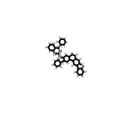 c1ccc(-c2nc(-n3c4ccccc4c4cc5c(ccc6cc7sc8ccccc8c7cc65)cc43)nc3ccccc23)cc1